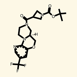 CC(C)(C)OC(=O)N1CC(C(=O)N2CCN3c4ncc(C(F)(F)F)cc4OC[C@@H]3C2)C1